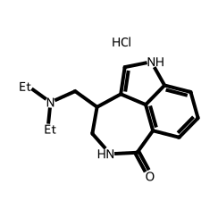 CCN(CC)CC1CNC(=O)c2cccc3[nH]cc1c23.Cl